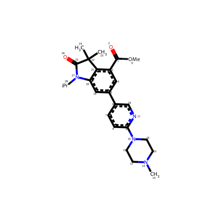 COC(=O)c1cc(-c2ccc(N3CCN(C)CC3)nc2)cc2c1C(C)(C)C(=O)N2C(C)C